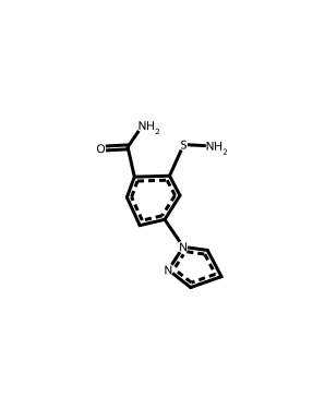 NSc1cc(-n2cccn2)ccc1C(N)=O